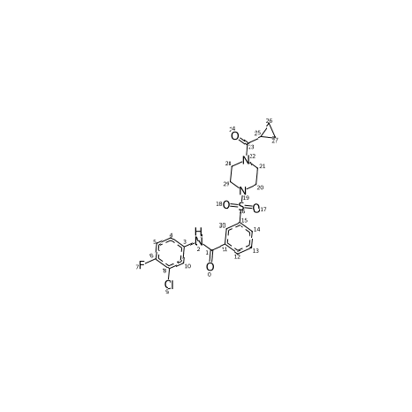 O=C(Nc1ccc(F)c(Cl)c1)c1cccc(S(=O)(=O)N2CCN(C(=O)C3CC3)CC2)c1